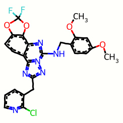 COc1ccc(CNc2nc3c4c(ccc3c3nc(Cc5cccnc5Cl)nn23)OC(F)(F)O4)c(OC)c1